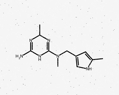 Cc1cc(CN(C)C2=NC(C)N=C(N)N2)c[nH]1